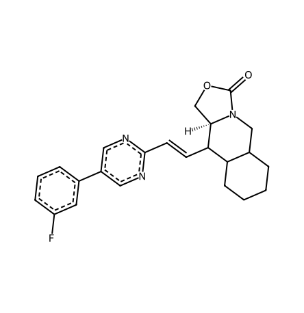 O=C1OC[C@@H]2C(/C=C/c3ncc(-c4cccc(F)c4)cn3)C3CCCCC3CN12